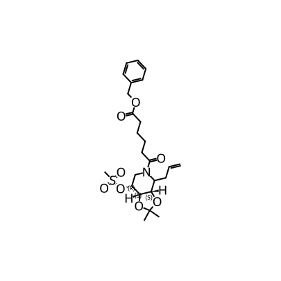 C=CCC1[C@@H]2OC(C)(C)O[C@@H]2[C@H](OS(C)(=O)=O)CN1C(=O)CCCCC(=O)OCc1ccccc1